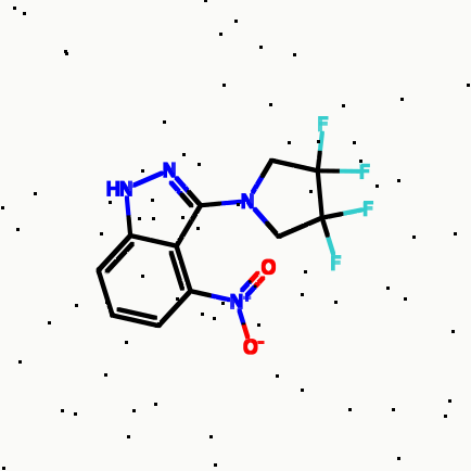 O=[N+]([O-])c1cccc2[nH]nc(N3CC(F)(F)C(F)(F)C3)c12